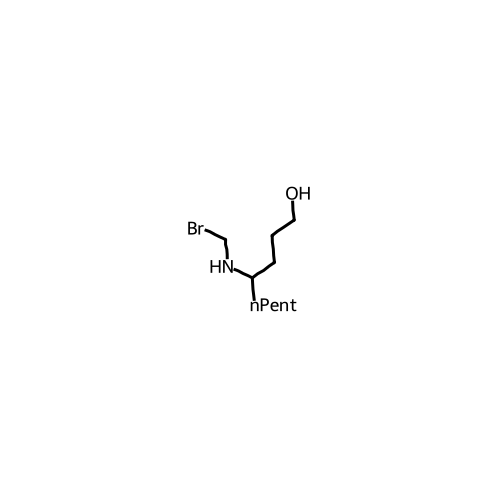 CCCCCC(CCCO)NCBr